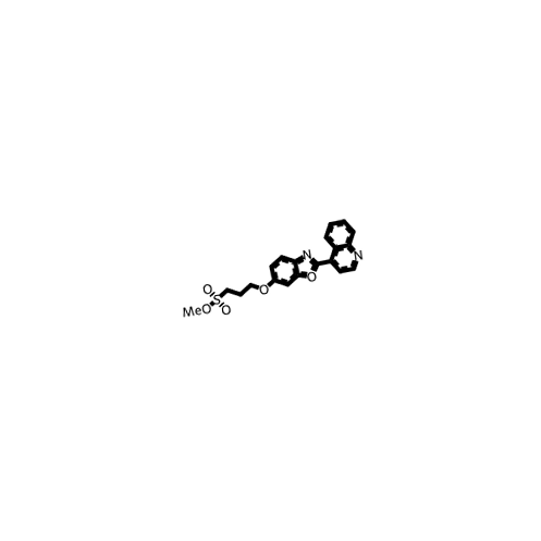 COS(=O)(=O)CCCOc1ccc2nc(-c3ccnc4ccccc34)oc2c1